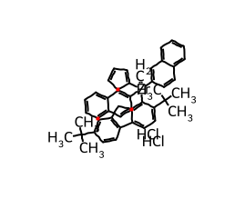 Cl.Cl.[CH2]=[Zr]([C]1=CC=CC1)([c]1ccc2ccccc2c1)([c]1ccc2ccccc2c1)[c]1c(C(C)(C)C)ccc2c1Cc1cc(C(C)(C)C)ccc1-2